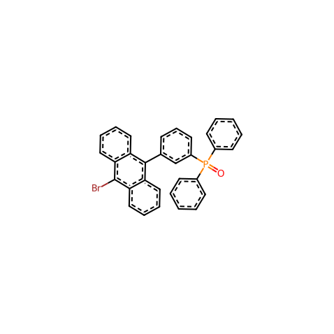 O=P(c1ccccc1)(c1ccccc1)c1cccc(-c2c3ccccc3c(Br)c3ccccc23)c1